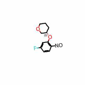 O=Nc1ccc(F)cc1O[C@H]1CCCOC1